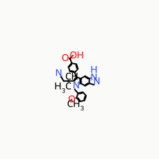 COc1ccccc1Cn1c(C(C)(C)CC#N)c(-c2ccc(C(=O)O)cc2)c2cc3[nH]ncc3cc21